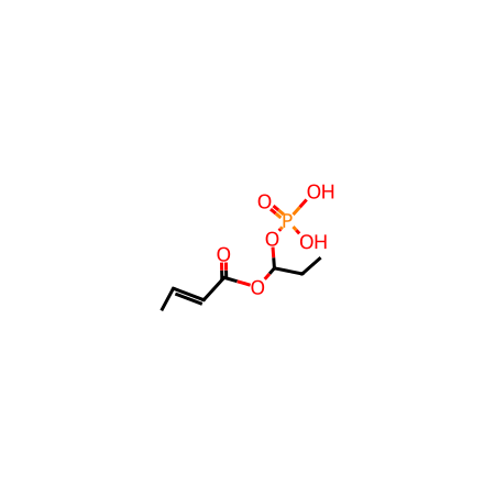 CC=CC(=O)OC(CC)OP(=O)(O)O